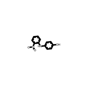 O=[N+]([O-])c1ccccc1Nc1ccc(O)cc1